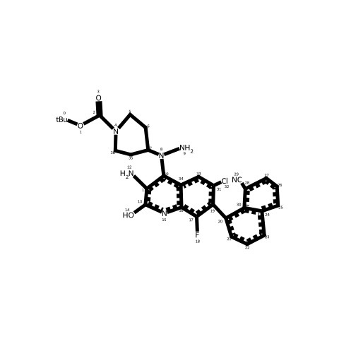 CC(C)(C)OC(=O)N1CCC(N(N)c2c(N)c(O)nc3c(F)c(-c4cccc5cccc(C#N)c45)c(Cl)cc23)CC1